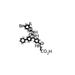 O=C(O)CCNC(=O)c1ccc(C(NC(=O)Nc2nc3cc(Br)cc(F)c3s2)c2ccc(C3CCCCC3)cc2)cc1